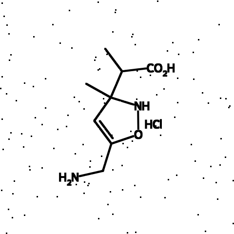 CC(C(=O)O)C1(C)C=C(CN)ON1.Cl